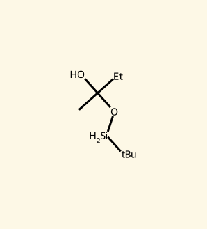 CCC(C)(O)O[SiH2]C(C)(C)C